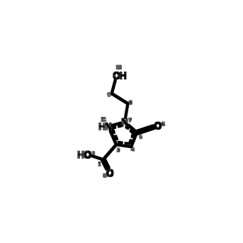 O=C(O)c1cc(=O)n(CCO)[nH]1